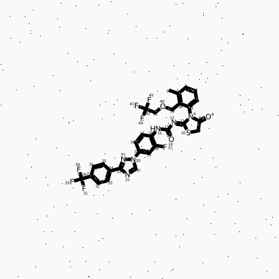 Cc1cccc(N2C(=O)CS/C2=N\C(=O)Nc2ccc(-n3cnc(-c4ccc(C(F)(F)F)cc4)n3)cc2F)c1COCC(F)(F)F